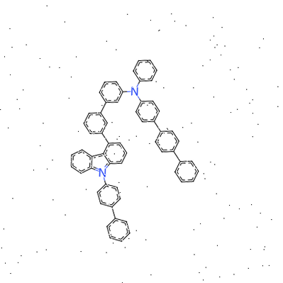 c1ccc(-c2ccc(-c3ccc(N(c4ccccc4)c4cccc(-c5cccc(-c6cccc7c6c6ccccc6n7-c6ccc(-c7ccccc7)cc6)c5)c4)cc3)cc2)cc1